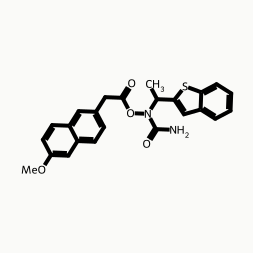 COc1ccc2cc(CC(=O)ON(C(N)=O)C(C)c3cc4ccccc4s3)ccc2c1